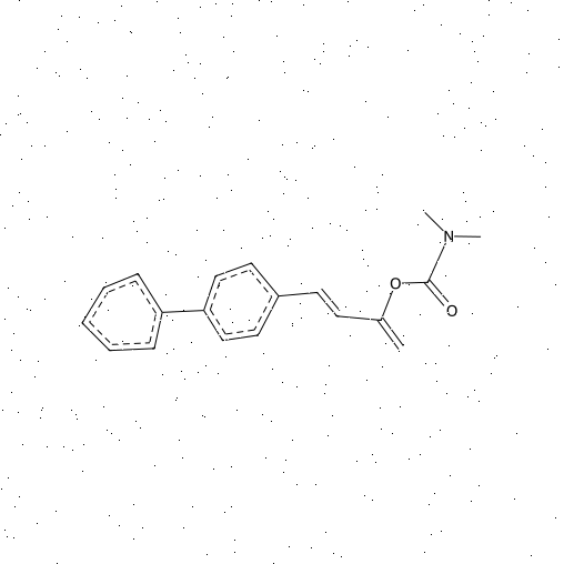 C=C(/C=C/c1ccc(-c2ccccc2)cc1)OC(=O)N(C)C